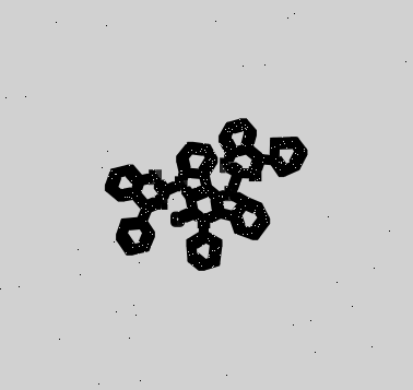 O=c1c2c(c3ccccc3n2-c2nc(-c3ccccc3)c3ccccc3n2)c2c(c3ccccc3n2-c2nc(-c3ccccc3)c3ccccc3n2)n1-c1ccccc1